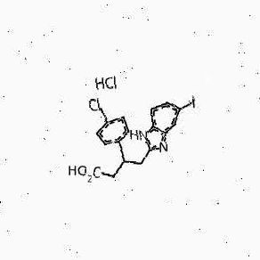 Cl.O=C(O)CC(Cc1nc2cc(I)ccc2[nH]1)c1ccc(Cl)cc1